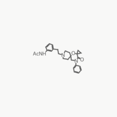 CC(=O)Nc1cccc(CCN2CCC3(CC2)CN(c2ccccc2)C(=O)C2(CC2)O3)c1